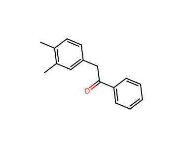 Cc1ccc(CC(=O)c2ccccc2)cc1C